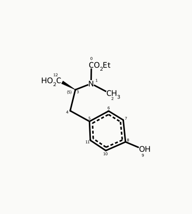 CCOC(=O)N(C)[C@@H](Cc1ccc(O)cc1)C(=O)O